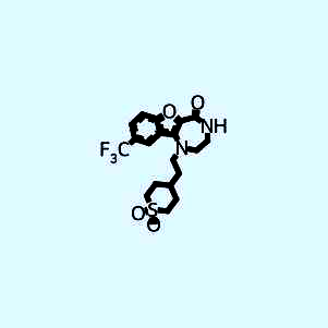 O=C1NCCN(CCC2CCS(=O)(=O)CC2)c2c1oc1ccc(C(F)(F)F)cc21